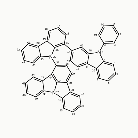 c1ccc(-n2c3ccccc3c3ccc(-c4cccc5c6ccccc6n(-c6ccc7c8ccccc8n8c9ccccc9c6c78)c45)cc32)cc1